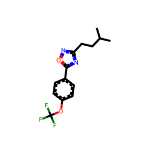 CC(C)CCc1noc(-c2ccc(OC(F)(F)F)cc2)n1